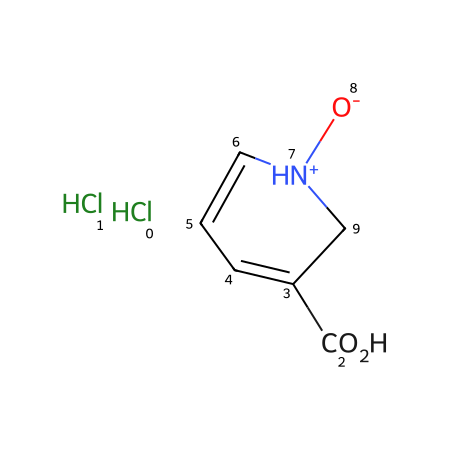 Cl.Cl.O=C(O)C1=CC=C[NH+]([O-])C1